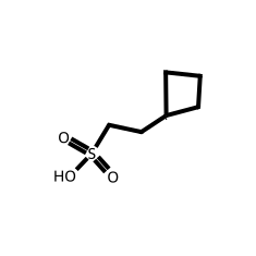 O=S(=O)(O)CC[C]1CCC1